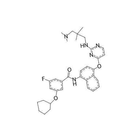 CN(C)CC(C)(C)CNc1nccc(Oc2ccc(NC(=O)c3cc(F)cc(OC4CCCCC4)c3)c3ccccc23)n1